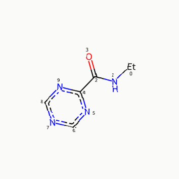 CCNC(=O)c1n[c]ncn1